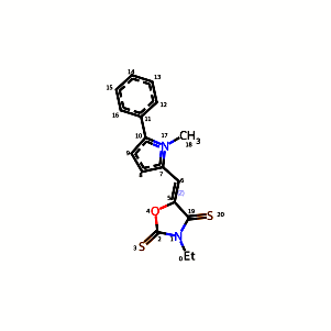 CCN1C(=S)O/C(=C\c2ccc(-c3ccccc3)n2C)C1=S